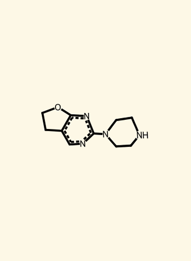 c1nc(N2CCNCC2)nc2c1CCO2